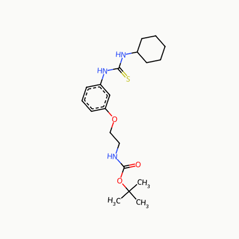 CC(C)(C)OC(=O)NCCOc1cccc(NC(=S)NC2CCCCC2)c1